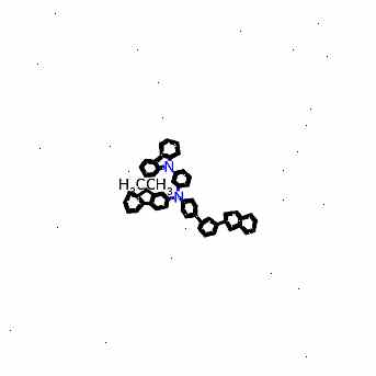 CC1(C)c2ccccc2-c2ccc(N(c3ccc(-c4cccc(-c5ccc6ccccc6c5)c4)cc3)c3cccc(-n4c5ccccc5c5ccccc54)c3)cc21